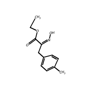 CCOC(=O)C(Cc1ccc(C)cc1)=NO